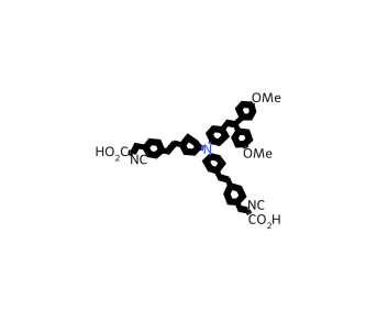 [C-]#[N+]/C(=C\c1ccc(/C=C/c2ccc(N(c3ccc(C=C(c4ccc(OC)cc4)c4ccc(OC)cc4)cc3)c3ccc(/C=C/c4ccc(/C=C(\[N+]#[C-])C(=O)O)cc4)cc3)cc2)cc1)C(=O)O